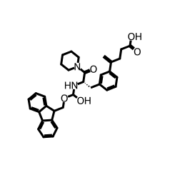 C=C(CCC(=O)O)c1cccc(C[C@H](NC(O)OCC2c3ccccc3-c3ccccc32)C(=O)N2CCCCC2)c1